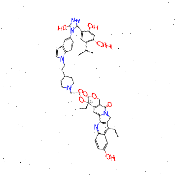 CCc1c2c(nc3ccc(O)cc13)-c1cc3c(c(=O)n1C2)COC(=O)[C@@]3(CC)OC(=O)CN1CCC(CCn2ccc3cc(-n4c(O)nnc4-c4cc(C(C)C)c(O)cc4O)ccc32)CC1